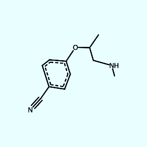 CNCC(C)Oc1ccc(C#N)cc1